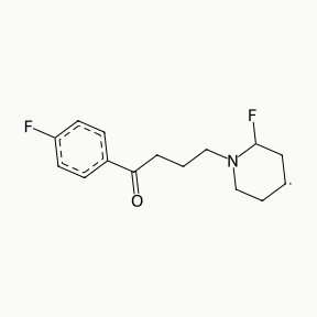 O=C(CCCN1CC[CH]CC1F)c1ccc(F)cc1